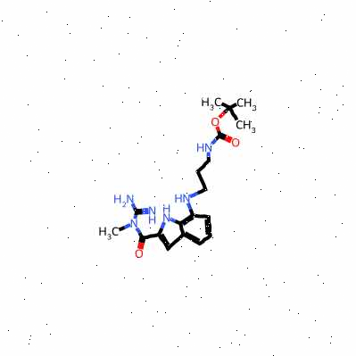 CN(C(=N)N)C(=O)c1cc2cccc(NCCCNC(=O)OC(C)(C)C)c2[nH]1